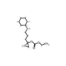 CCOC(=O)OC1(CCCOC2CCCCC2)CO1